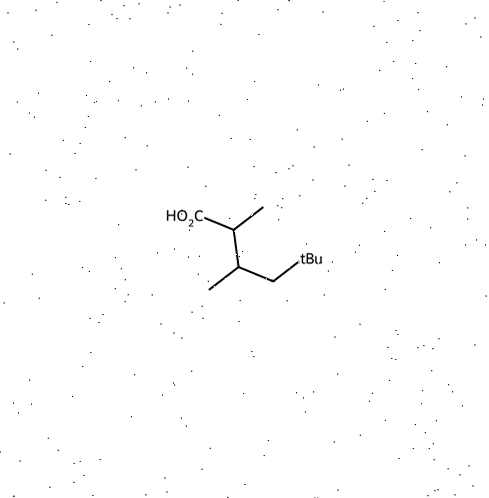 CC(CC(C)(C)C)C(C)C(=O)O